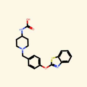 O=C(O)NC1CCN(Cc2ccc(Oc3nc4ccccc4s3)cc2)CC1